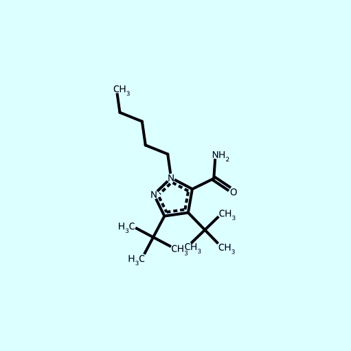 CCCCCn1nc(C(C)(C)C)c(C(C)(C)C)c1C(N)=O